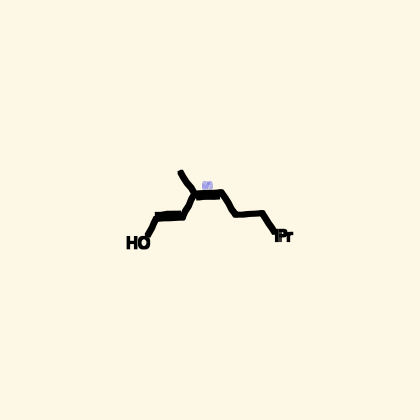 C/C(C=CO)=C/CCC(C)C